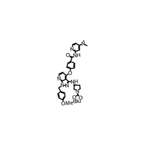 COc1ccc(Cn2nc(N[C@@H]3CCN(C(=O)OC(C)(C)C)C3)c3c(Oc4ccc(C(=O)Nc5cc(N(C)C)ccn5)cc4)ccnc32)cc1